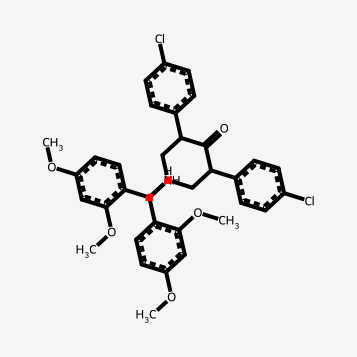 COc1ccc(CNCC(C(=O)C(CNCc2ccc(OC)cc2OC)c2ccc(Cl)cc2)c2ccc(Cl)cc2)c(OC)c1